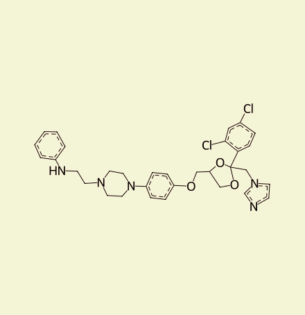 Clc1ccc(C2(Cn3ccnc3)OCC(COc3ccc(N4CCN(CCNc5ccccc5)CC4)cc3)O2)c(Cl)c1